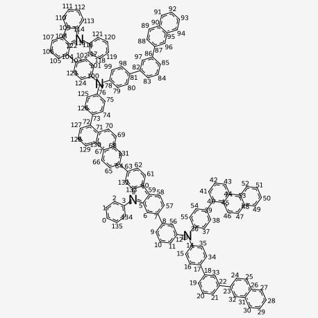 c1ccc(-n2c3cc(-c4cccc(N(c5ccc(-c6cccc(-c7ccc8ccccc8c7)c6)cc5)c5ccc(-c6cccc7c6ccc6ccccc67)cc5)c4)ccc3c3ccc(-c4ccc5c(ccc6c(-c7ccc(N(c8ccc(-c9cccc(-c%10ccc%11ccccc%11c%10)c9)cc8)c8ccc(-c9cccc%10c%11ccccc%11n(-c%11ccccc%11)c9%10)cc8)cc7)cccc65)c4)cc32)cc1